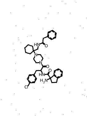 NC1(C(=O)NC(Cc2ccc(Cl)cc2)C(=O)N2CCN(C3(CNC(=O)Cc4ccccc4)CCCCC3)CC2)CCc2ccccc21